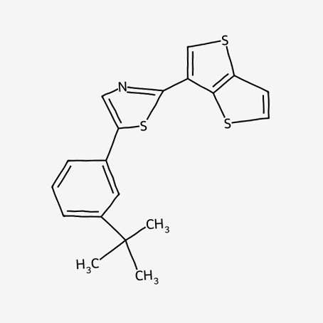 CC(C)(C)c1cccc(-c2cnc(-c3csc4ccsc34)s2)c1